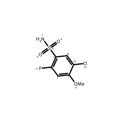 COc1cc(F)c(S(N)(=O)=O)cc1Cl